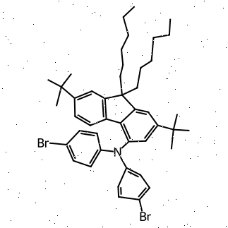 CCCCCCC1(CCCCCC)c2cc(C(C)(C)C)ccc2-c2c(N(c3ccc(Br)cc3)c3ccc(Br)cc3)cc(C(C)(C)C)cc21